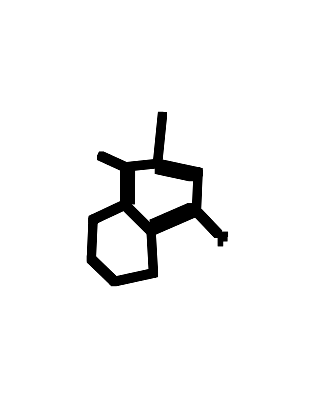 Cc1cc(F)c2c(c1C)CCCC2